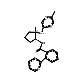 Cc1cnc(N[C@@]2(C)CCC[C@@H]2NC(=O)c2ccccc2-c2ncccn2)cn1